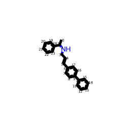 CC(NCC=Cc1ccc(-c2ccccc2)cc1)c1ccccc1